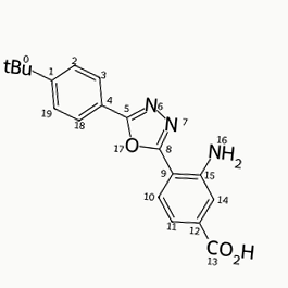 CC(C)(C)c1ccc(-c2nnc(-c3ccc(C(=O)O)cc3N)o2)cc1